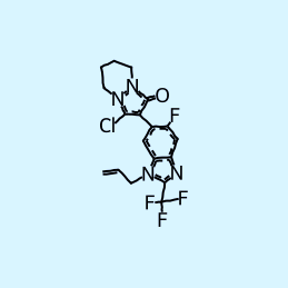 C=CCn1c(C(F)(F)F)nc2cc(F)c(-c3c(Cl)n4n(c3=O)CCCC4)cc21